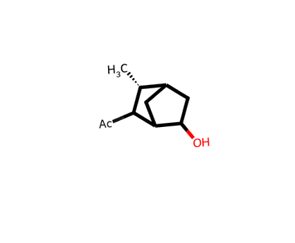 CC(=O)C1C2CC(CC2O)[C@H]1C